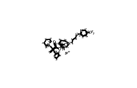 CC(C(=O)O[C@H]1C[N+]2(CCCOc3ccc(C(F)(F)F)cn3)CCC1CC2)(c1cccs1)N1CCCCC1.[Br-]